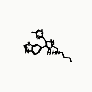 CCCCNCc1nc(-c2nc(C)cs2)c(-c2ccc3ncsc3c2)[nH]1